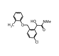 CNC(=O)C(O)c1cc(Cl)ccc1COc1ccccc1C